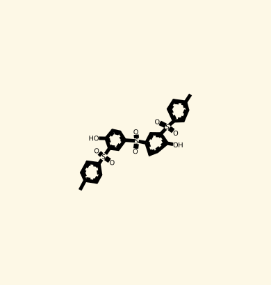 Cc1ccc(S(=O)(=O)c2cc(S(=O)(=O)c3ccc(O)c(S(=O)(=O)c4ccc(C)cc4)c3)ccc2O)cc1